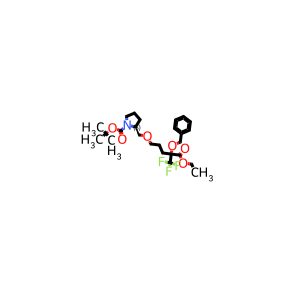 CCOC(=O)C(CCCOC[C@@H]1CCCN1C(=O)OC(C)(C)C)(OCc1ccccc1)C(F)(F)F